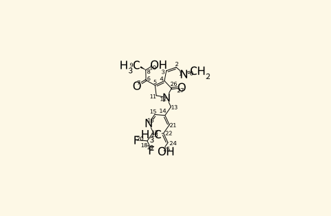 C=N/C=C\C1=C(C(=O)[C@@H](C)O)CN(CC(/C=N\CC(F)F)=C/C(C)=C/O)C1=O